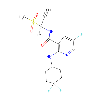 C#C[C@@](CC)(NC(=O)c1cc(F)cnc1NC1CCC(F)(F)CC1)S(C)(=O)=O